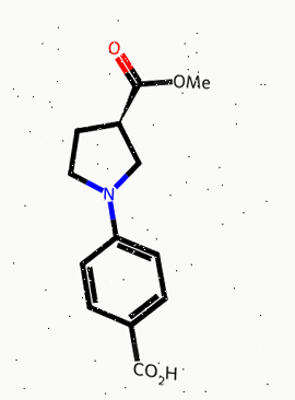 COC(=O)[C@@H]1CCN(c2ccc(C(=O)O)cc2)C1